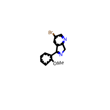 COc1ccccc1C1=NCc2ncc(Br)cc21